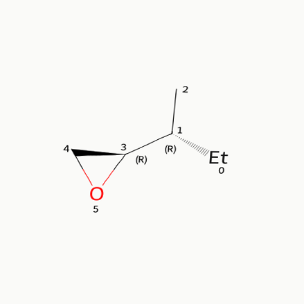 CC[C@@H](C)[C@@H]1CO1